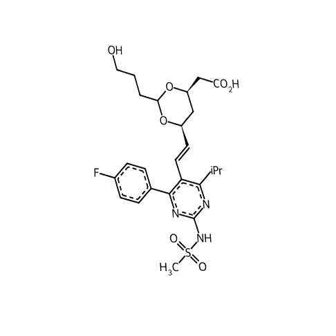 CC(C)c1nc(NS(C)(=O)=O)nc(-c2ccc(F)cc2)c1/C=C/[C@@H]1C[C@H](CC(=O)O)OC(CCCO)O1